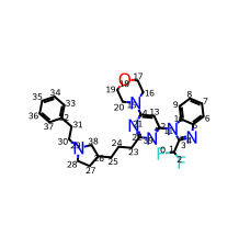 FC(F)c1nc2ccccc2n1-c1cc(N2CCOCC2)nc(CCCC2CCN(CCc3ccccc3)C2)n1